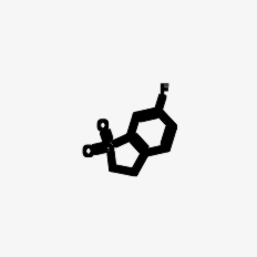 O=S1(=O)CCc2ccc(F)cc21